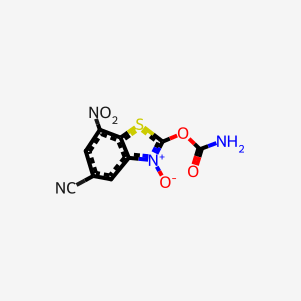 N#Cc1cc([N+](=O)[O-])c2sc(OC(N)=O)[n+]([O-])c2c1